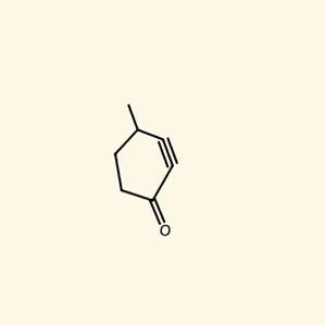 CC1C#CC(=O)CC1